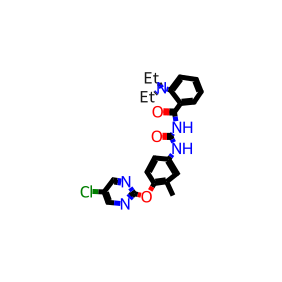 CCN(CC)c1ccccc1C(=O)NC(=O)Nc1ccc(Oc2ncc(Cl)cn2)c(C)c1